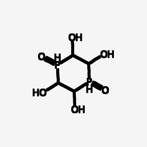 O=[PH]1C(O)C(O)[PH](=O)C(O)C1O